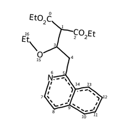 CCOC(=O)C(C(=O)OCC)C(Cc1nccc2ccccc12)OCC